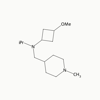 COC1CC(N(CC2CCN(C)CC2)C(C)C)C1